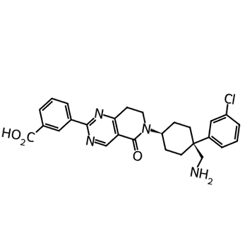 NC[C@]1(c2cccc(Cl)c2)CC[C@H](N2CCc3nc(-c4cccc(C(=O)O)c4)ncc3C2=O)CC1